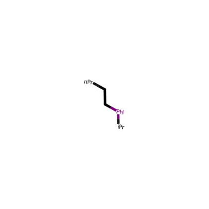 CCCCCPC(C)C